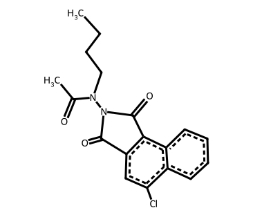 CCCCN(C(C)=O)N1C(=O)c2cc(Cl)c3ccccc3c2C1=O